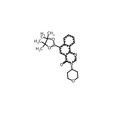 CC1(C)OB(c2cc3c(=O)n(C4CCOCC4)cnc3c3ccccc23)OC1(C)C